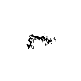 C[C@@H](Oc1ccc(C(=O)C2CC2)nc1)c1cc(-c2cnc(C(=O)NC(C)(C)C(N)=O)c(F)c2)ns1